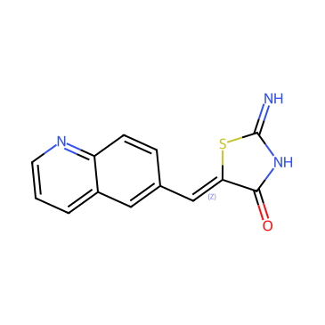 N=C1NC(=O)/C(=C/c2ccc3ncccc3c2)S1